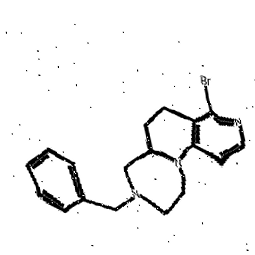 Brc1nccc2c1CCC1CN(Cc3ccccc3)CCN21